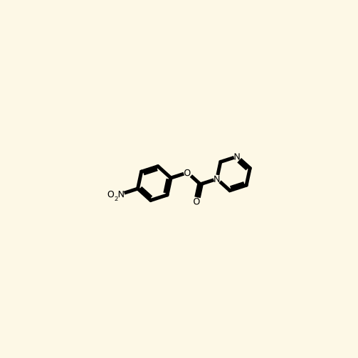 O=C(Oc1ccc([N+](=O)[O-])cc1)N1C=CC=NC1